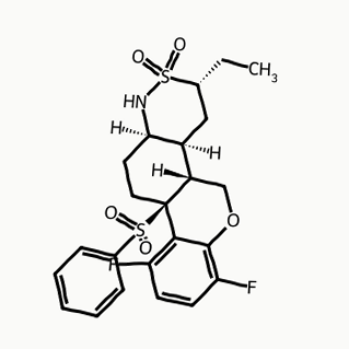 CC[C@@H]1C[C@@H]2[C@@H](CC[C@@]3(S(=O)(=O)c4ccccc4)c4c(F)ccc(F)c4OC[C@@H]23)NS1(=O)=O